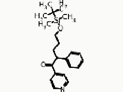 CC(C)(C)[Si](C)(C)OCCCC(C(=O)c1ccncc1)c1ccccc1